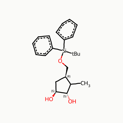 CC1[C@H](CO[Si](c2ccccc2)(c2ccccc2)C(C)(C)C)C[C@H](O)[C@H]1O